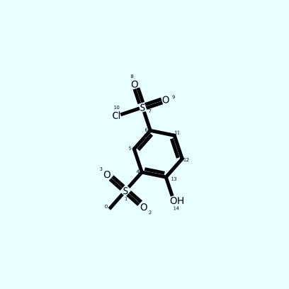 CS(=O)(=O)c1cc(S(=O)(=O)Cl)ccc1O